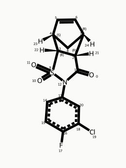 O=C1[C@@H]2[C@@H]([C@@H]3C=C[C@H]2C3)S(=O)(=O)N1c1ccc(F)c(Cl)c1